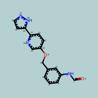 O=CNc1cccc(COc2ccc(-c3ccn[nH]3)nc2)c1